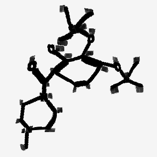 CN1CCN(C(=O)c2ccc(O[Si](C)(C)C)c(O[Si](C)(C)C)c2Cl)CC1